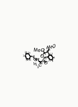 COC=C(C(=O)OC)c1ccccc1C[S+]([O-])C(C)=NOCc1ccccc1